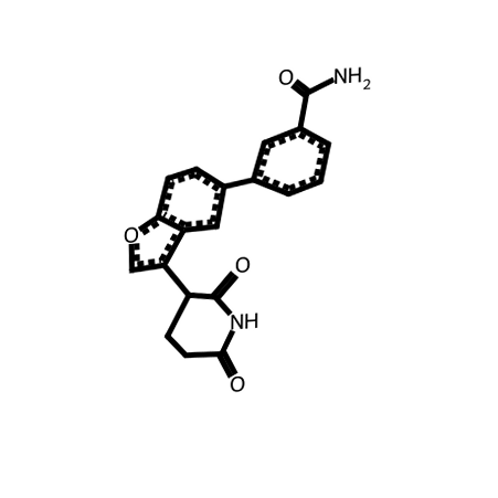 NC(=O)c1cccc(-c2ccc3occ(C4CCC(=O)NC4=O)c3c2)c1